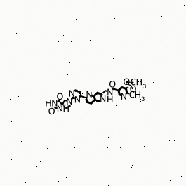 Cc1ncc(C(=O)NCc2cc3nc(-c4ccnc(N5CC[C@]6(C5)NC(=O)NC6=O)n4)ccc3cn2)cc1S(C)(=O)=O